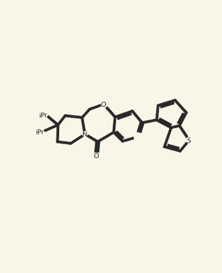 C=C(/C=C1/OCC2CC(C(C)C)(C(C)C)CCN2C(=O)/C1=C/C)c1cccc2sccc12